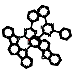 c1ccc(C2=NC(c3ccc4c(c3)oc3ccccc34)NC(n3c4ccccc4c4ccc5c6ccccc6n(-c6ccc(-c7nc(-c8ccccc8)nc(-c8ccccc8)n7)cc6)c5c43)=N2)cc1